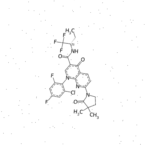 CC[C@H](NC(=O)c1cn(-c2c(F)cc(F)cc2Cl)c2nc(N3CCC(C)(C)C3=O)ccc2c1=O)C(F)(F)F